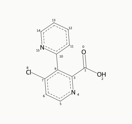 O=C(O)c1nccc(Cl)c1-c1ccccn1